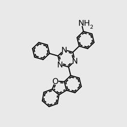 Nc1cccc(-c2nc(-c3ccccc3)nc(-c3cccc4c3oc3ccccc34)n2)c1